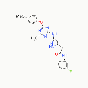 COc1ccc(Oc2nc(C)nc(Nc3cc(CC(=O)Nc4cccc(F)c4)[nH]n3)n2)cc1